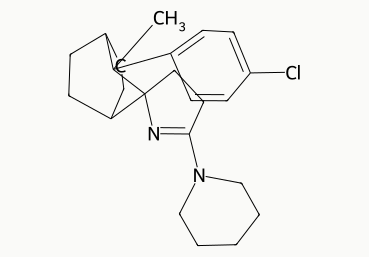 CC1(c2ccc(Cl)cc2)C2CCC(CC2)C12CCC(N1CCCCC1)=N2